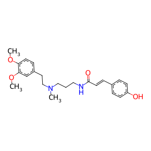 COc1ccc(CCN(C)CCCNC(=O)/C=C/c2ccc(O)cc2)cc1OC